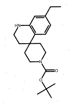 CCc1ccc2c(c1)NCCC21CCN(C(=O)OC(C)(C)C)CC1